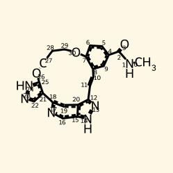 CNC(=O)c1ccc2c(c1)/C=C/c1n[nH]c3cnc(cc13)-c1cn[nH]c1OCCCO2